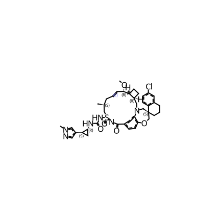 CO[C@H]1/C=C/C[C@H](C)CS(=O)(NC(=O)N[C@@H]2C[C@H]2c2cnn(C)c2)=NC(=O)c2ccc3c(c2)N(C[C@@H]2CC[C@H]21)C[C@@]1(CCCc2cc(Cl)ccc21)CO3